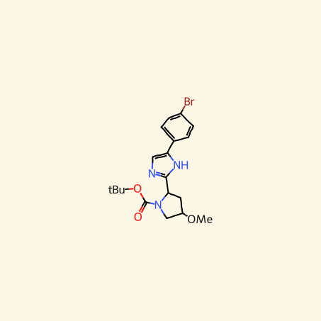 COC1CC(c2ncc(-c3ccc(Br)cc3)[nH]2)N(C(=O)OC(C)(C)C)C1